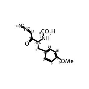 COc1ccc(C[C@H](NC(=O)O)C(=O)C=[N+]=[N-])cc1